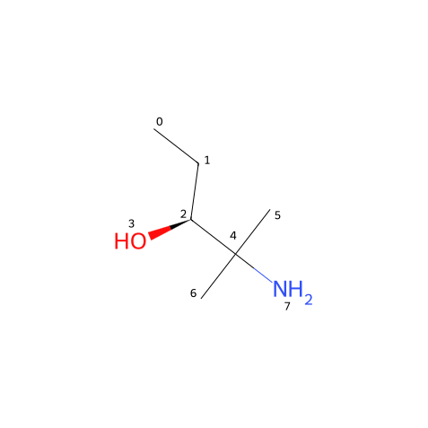 CC[C@H](O)C(C)(C)N